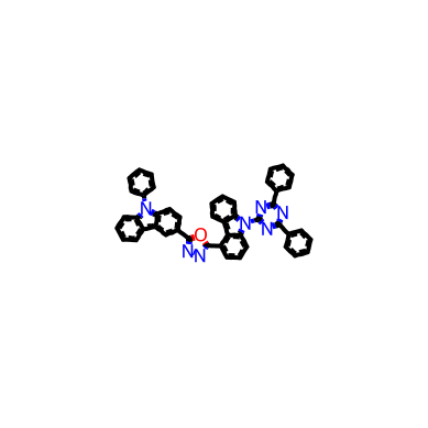 c1ccc(-c2nc(-c3ccccc3)nc(-n3c4ccccc4c4c(-c5nnc(-c6ccc7c(c6)c6ccccc6n7-c6ccccc6)o5)cccc43)n2)cc1